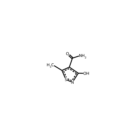 Cc1snc(O)c1C(N)=O